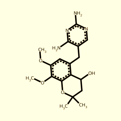 COc1cc(Cc2cnc(N)nc2N)c2c(c1OC)OC(C)(C)CC2O